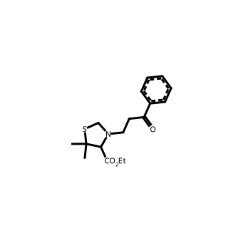 CCOC(=O)C1N(CCC(=O)c2ccccc2)CSC1(C)C